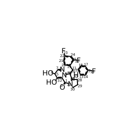 O=C1C2=C(O)C(O)C=NN2[C@@H]([C@@H](c2ccc(F)cc2)c2ccc(F)cc2F)[C@H]2CCCN12